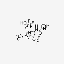 Cn1ccc(C(=O)Nc2cc(OC(F)F)c3nc(C45COC(C)(C4)C5)cn3c2)n1.O=C(O)C(F)(F)F